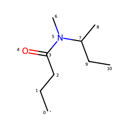 [CH2]CCC(=O)N(C)C(C)CC